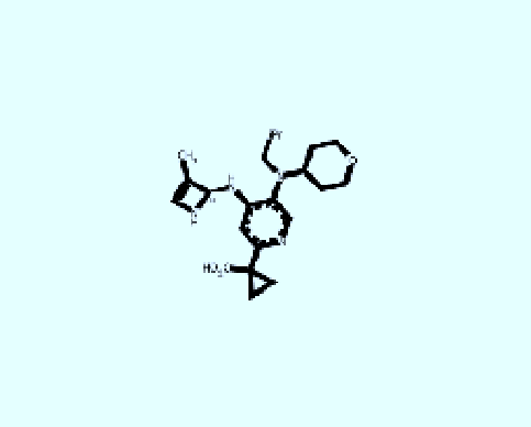 CC1=CN[C@@H]1Nc1cc(C2(C(=O)O)CC2)ncc1N(CC(C)C)C1CCOCC1